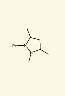 CC1CC(C)N(C(C)C)N1C